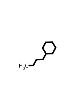 CCCC[C]1CCCCC1